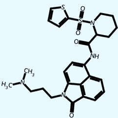 CN(C)CCCN1C(=O)c2cccc3c(NC(=O)C4CCCCN4S(=O)(=O)c4cccs4)ccc1c23